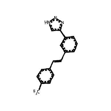 FC(F)(F)c1ccc(/C=C/c2cccc(-c3c[nH]nn3)c2)cc1